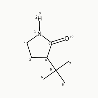 [2H]N1CCC(C(C)(C)C)C1=O